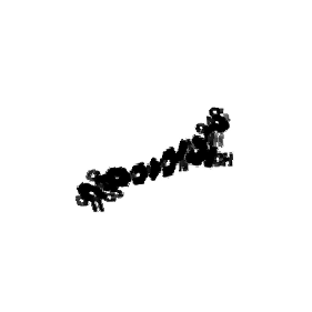 CC(C)(O)c1cc2nc(C3CCN(C4CN(C5CCN(c6ccc7c(c6)C(=O)N(C6CCC(=O)NC6=O)C7=O)CC5)C4)CC3)cn2cc1NC(=O)c1cccc(C(F)(F)F)n1